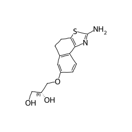 Nc1nc2c(s1)CCc1cc(OC[C@H](O)CO)ccc1-2